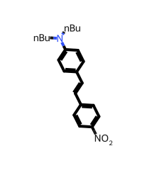 CCCCN(CCCC)c1ccc(C=Cc2ccc([N+](=O)[O-])cc2)cc1